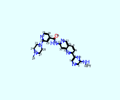 CC(C)Nc1cncc(-c2ccc3cnc(NC(=O)c4ccnc(N5CCN(C)CC5)c4)cc3n2)n1